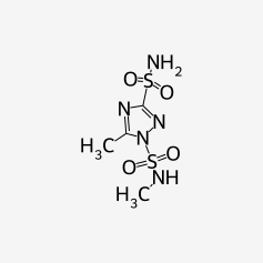 CNS(=O)(=O)n1nc(S(N)(=O)=O)nc1C